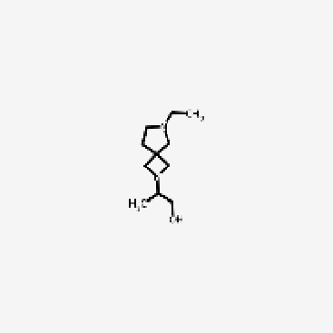 CCN1CCC2(C1)CN(C(C)CO)C2